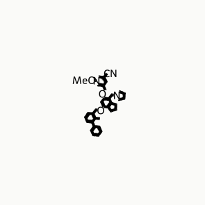 CO[n+]1cc(C#N)cc(COc2cc(OCc3cccc(-c4ccccc4)c3C)c3c(c2CN2CCCC2)CCC3)c1